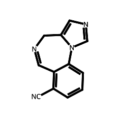 N#Cc1cccc2c1C=NCc1cncn1-2